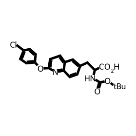 CC(C)(C)OC(=O)NC(Cc1ccc2nc(Oc3ccc(Cl)cc3)ccc2c1)C(=O)O